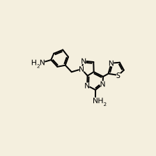 Nc1cccc(Cn2ncc3c(-c4nccs4)nc(N)nc32)c1